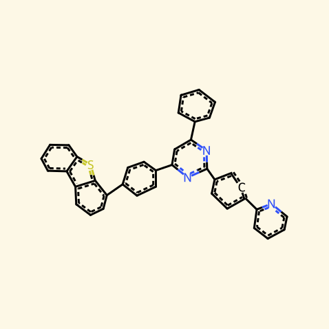 c1ccc(-c2cc(-c3ccc(-c4cccc5c4sc4ccccc45)cc3)nc(-c3ccc(-c4ccccn4)cc3)n2)cc1